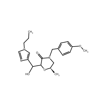 CCCn1cnc(C(O)C2O[C@H](C)CN(Cc3ccc(OC)cc3)C2=O)c1